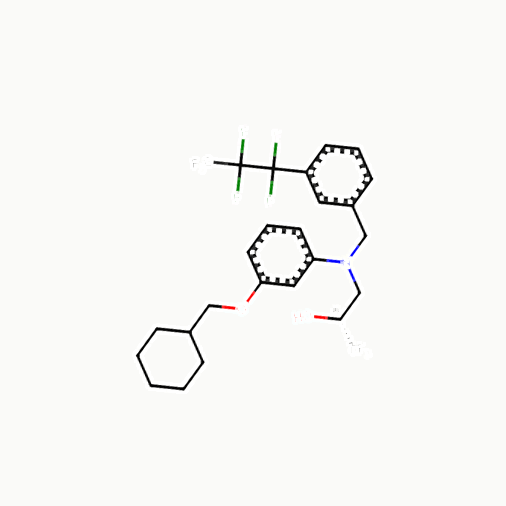 O[C@H](CN(Cc1cccc(C(F)(F)C(F)(F)C(F)(F)F)c1)c1cccc(OCC2CCCCC2)c1)C(F)(F)F